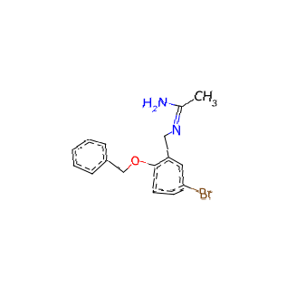 CC(N)=NCc1cc(Br)ccc1OCc1ccccc1